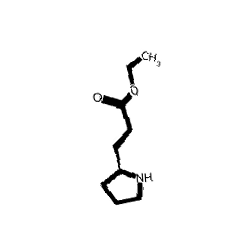 CCOC(=O)CC[C@@H]1CCCN1